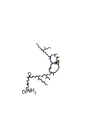 CCCCCC(C)C(CCCCC(=O)C(C)CSSCC(N)C(C)=O)CCCC(CCC1CCCC2C/C=C(/CCCCCC(CCCCC)C(C)CCC)CCCCCC[C@@H]2CCCCCC1C)C(C)CC